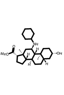 COC(=O)[C@H]1CC[C@H]2[C@@H]3CC[C@H]4C[C@@H](O)CC[C@]4(C)[C@H]3[C@H](NC3CCCCC3)C[C@]12C